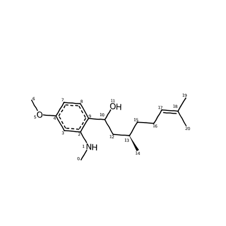 CNc1cc(OC)ccc1C(O)C[C@H](C)CCC=C(C)C